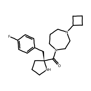 O=C(N1CCCN(C2CCC2)CC1)[C@@]1(Cc2ccc(F)cc2)CCCN1